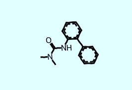 CN(C)C(=O)Nc1ccccc1-c1ccccc1